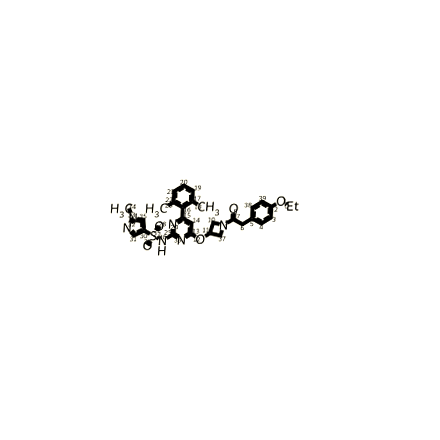 CCOc1ccc(CC(=O)N2CC(Oc3cc(-c4c(C)cccc4C)nc(NS(=O)(=O)c4cnn(C)c4)n3)C2)cc1